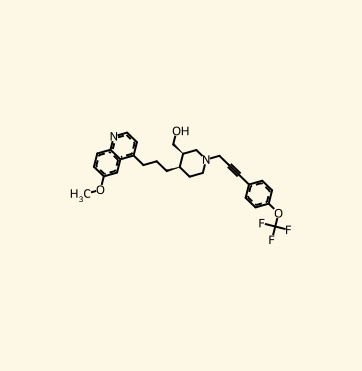 COc1ccc2nccc(CCC[C@@H]3CCN(CC#Cc4ccc(OC(F)(F)F)cc4)C[C@@H]3CO)c2c1